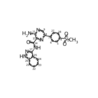 CS(=O)(=O)c1ccc(-c2cnc(N)c(C(=O)Nc3n[nH]c4ccccc34)n2)cc1